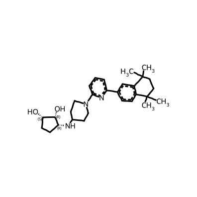 CC1(C)CCC(C)(C)c2cc(-c3cccc(N4CCC(N[C@@H]5CC[C@H](O)[C@@H]5O)CC4)n3)ccc21